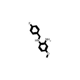 COc1ccc(NCc2ccc(F)cc2)c(N)c1